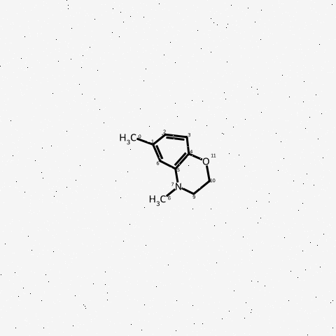 Cc1[c]cc2c(c1)N(C)CCO2